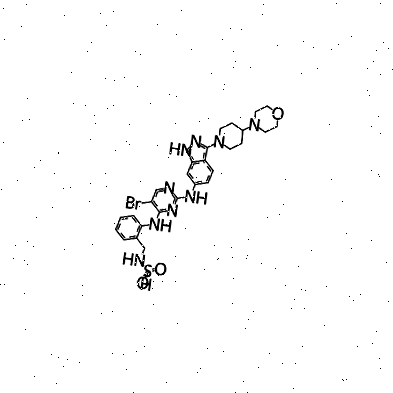 O=[SH](=O)NCc1ccccc1Nc1nc(Nc2ccc3c(N4CCC(N5CCOCC5)CC4)n[nH]c3c2)ncc1Br